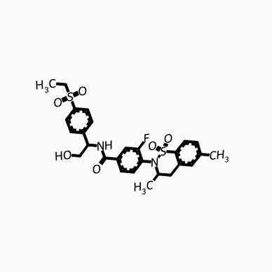 CCS(=O)(=O)c1ccc(C(CO)NC(=O)c2ccc(N3C(C)Cc4cc(C)ccc4S3(=O)=O)c(F)c2)cc1